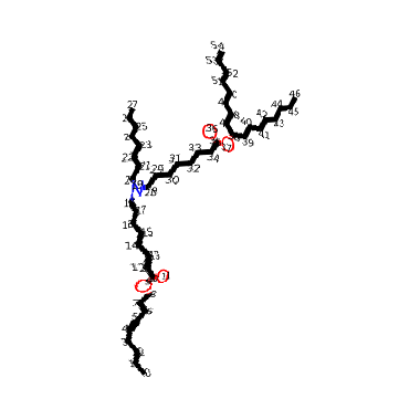 CCCCC#CCCCOC(=O)CCCCCCCN(CCCCCCCC)CCCCCCCC(=O)OC(CCCCCCCC)CCCCCCCC